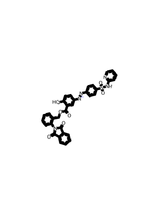 O=C(OCc1ccccc1N1C(=O)c2ccccc2C1=O)c1cc(/N=N/c2ccc(S(=O)(=O)Nc3ccccn3)cc2)ccc1O